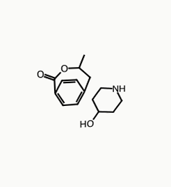 CC1Cc2ccc(cc2)C(=O)O1.OC1CCNCC1